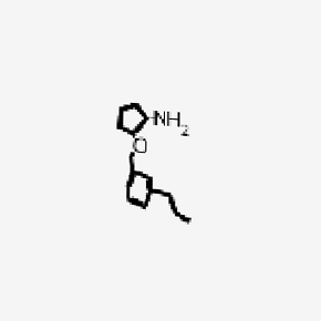 CCCc1cccc(CO[C@H]2CCC[C@@H]2N)c1